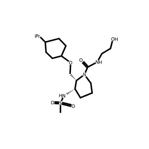 CC(C)C1CCC(OC[C@H]2[C@@H](NS(C)(=O)=O)CCCN2C(=O)NCCO)CC1